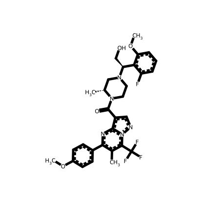 COc1ccc(-c2nc3c(C(=O)N4CCN([C@@H](CO)c5c(F)cccc5OC)C[C@H]4C)cnn3c(C(F)(F)F)c2C)cc1